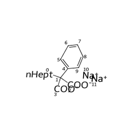 CCCCCCCC(C(=O)[O-])(C(=O)[O-])c1ccccc1.[Na+].[Na+]